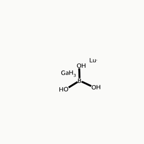 OB(O)O.[GaH3].[Lu]